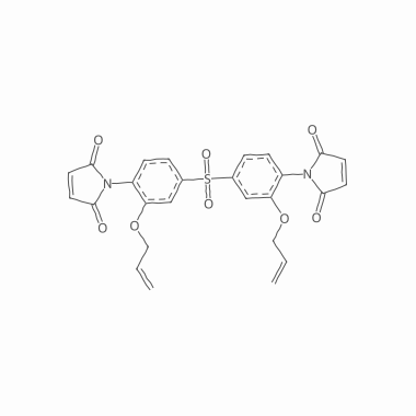 C=CCOc1cc(S(=O)(=O)c2ccc(N3C(=O)C=CC3=O)c(OCC=C)c2)ccc1N1C(=O)C=CC1=O